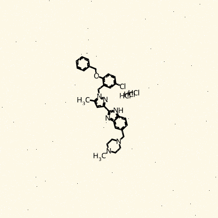 Cc1cc(-c2nc3cc(CN4CCN(C)CC4)ccc3[nH]2)nn1Cc1cc(Cl)ccc1OCc1ccccc1.Cl.Cl.Cl